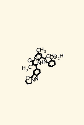 Cc1cc(C(C)Nc2ccccc2C(=O)O)c2nc(-c3ccc4nn5c(c4c3)OCCC5)c(C)c(=O)n2c1